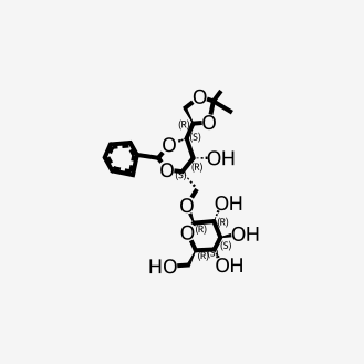 CC1(C)OC[C@H]([C@H]2OC(c3ccccc3)O[C@@H](CO[C@@H]3O[C@H](CO)[C@@H](O)[C@H](O)[C@H]3O)[C@H]2O)O1